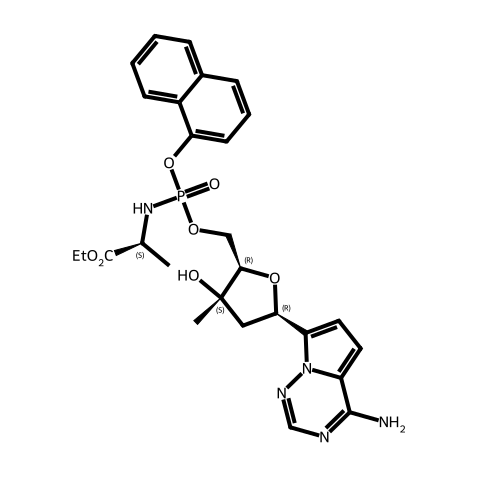 CCOC(=O)[C@H](C)NP(=O)(OC[C@H]1O[C@@H](c2ccc3c(N)ncnn23)C[C@]1(C)O)Oc1cccc2ccccc12